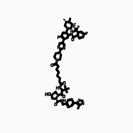 Cc1ncsc1-c1ccc(CNC(=O)[C@@H]2C[C@@H](O)CN2C(=O)C(NC(=O)CCCCCCC(=O)N2CCN(c3ncc(-c4cc(NC(=O)c5ccc(F)cc5C(F)(F)F)c(N5C[C@@H](C)N(C)[C@@H](C)C5)cc4F)cn3)CC2)C(C)(C)C)cc1